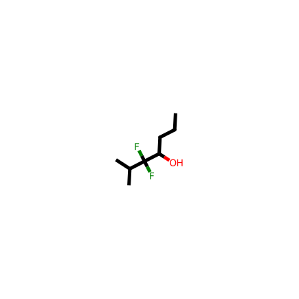 CCCC(O)C(F)(F)C(C)C